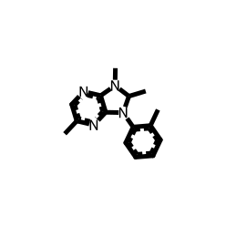 Cc1cnc2c(n1)N(c1ccccc1C)C(C)N2C